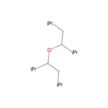 CC(C)CC(OC(CC(C)C)C(C)C)C(C)C